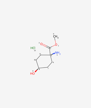 COC(=O)[C@]1(N)CC[C@@H](O)CC1.Cl